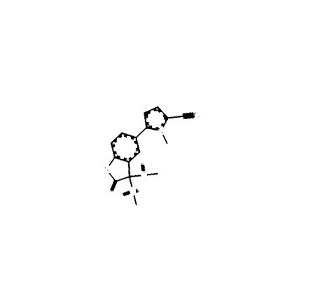 Cn1c(C#N)ccc1-c1ccc2c(c1)C(S(C)(=O)=O)(S(C)(=O)=O)C(=O)N2